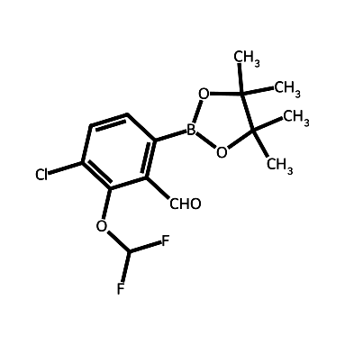 CC1(C)OB(c2ccc(Cl)c(OC(F)F)c2C=O)OC1(C)C